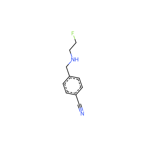 N#Cc1ccc(CNCCF)cc1